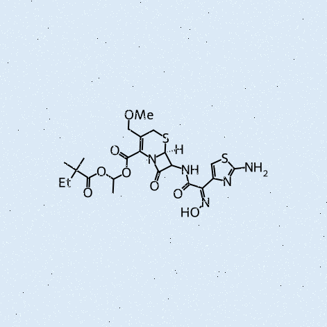 CCC(C)(C)C(=O)OC(C)OC(=O)C1=C(COC)CS[C@H]2C(NC(=O)/C(=N\O)c3csc(N)n3)C(=O)N12